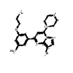 CNc1cc(OCCO)cc(-c2cc(N3CCOCC3)n3ncc(C(C)C)c3n2)c1